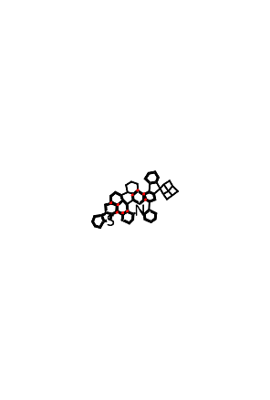 c1cc(-c2cccc3c2sc2ccccc23)cc(N(c2ccccc2-c2ccc3c(c2)C2(c4ccccc4-3)C3CC4CC5CC2C453)c2ccccc2-c2cccc3cccc(C4CCCCC4)c23)c1